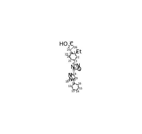 CCc1cc(-c2noc(-c3cc(-c4ccccc4)n(C)n3)n2)cc(C)c1CCC(=O)O